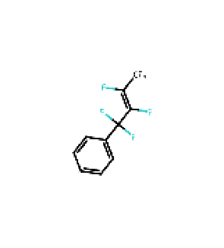 FC(=C(F)C(F)(F)c1cc[c]cc1)C(F)(F)F